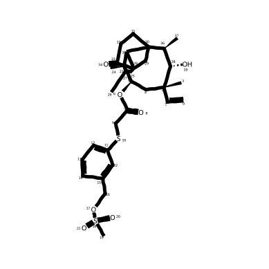 C=C[C@]1(C)C[C@@H](OC(=O)CSc2cccc(COS(C)(=O)=O)c2)[C@]2(C)C(C)CC34CC(CCC3=O)(C42)[C@@H](C)[C@@H]1O